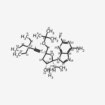 CC[Si](C#C[C@@]1(COC(C)(C)C)C[C@@H](O)[C@@](n2cnc3c(N)nc(F)nc32)([SiH](C)C)O1)(CC)CC